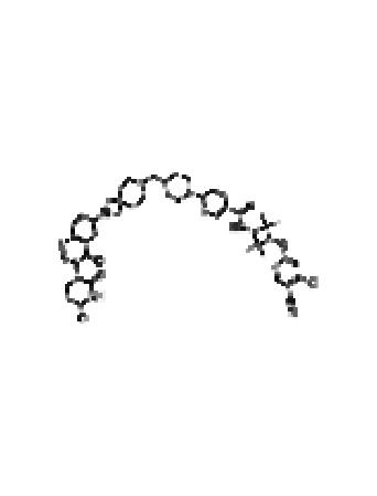 CC1(C)[C@H](NC(=O)c2ccc(N3CCC(CN4CCC5(CC4)CN(c4ccc6nnn(C7CCC(=O)NC7=O)c(=O)c6c4)C5)CC3)nc2)C(C)(C)[C@H]1Oc1ccc(C#N)c(Cl)c1